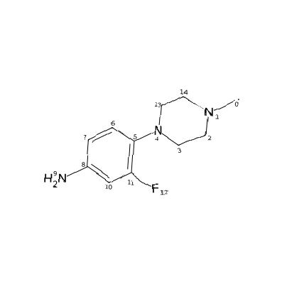 [CH2]N1CCN(c2ccc(N)cc2F)CC1